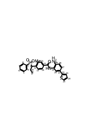 COP(=O)(c1ccccc1)C(CF)c1ccc(C(=O)Nc2cc(-c3cccs3)ccc2N)cc1